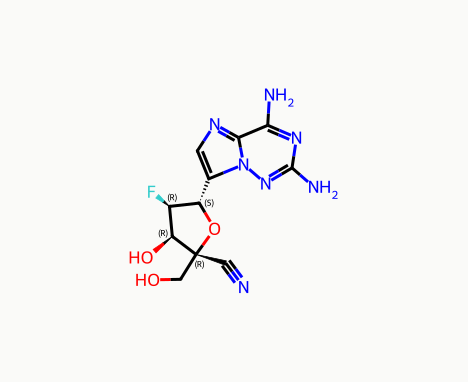 N#C[C@]1(CO)O[C@@H](c2cnc3c(N)nc(N)nn23)[C@H](F)[C@@H]1O